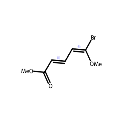 COC(=O)/C=C/C=C(/Br)OC